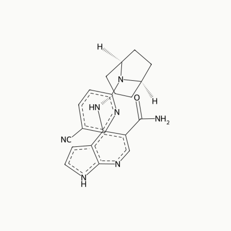 N#Cc1ccc(N2[C@@H]3CC[C@H]2C[C@H](Nc2c(C(N)=O)cnc4[nH]ccc24)C3)nc1